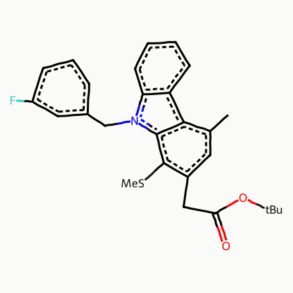 CSc1c(CC(=O)OC(C)(C)C)cc(C)c2c3ccccc3n(Cc3cccc(F)c3)c12